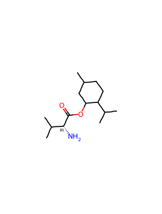 CC1CCC(C(C)C)C(OC(=O)[C@H](N)C(C)C)C1